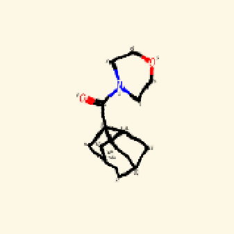 O=C(N1CCOCC1)C12CC3CC(CC1C3)C2